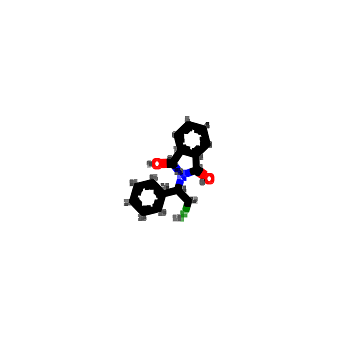 O=C1c2ccccc2C(=O)N1C(CF)c1ccccc1